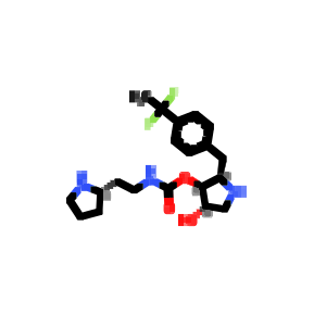 CC(F)(F)c1ccc(C[C@H]2NC[C@H](O)[C@H]2OC(=O)NCC[C@@H]2CCCN2)cc1